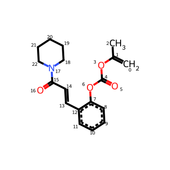 C=C(C)OC(=O)Oc1ccccc1/C=C/C(=O)N1CCCCC1